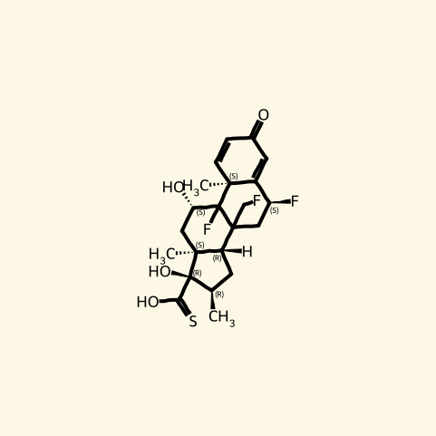 C[C@@H]1C[C@H]2C3(CF)C[C@H](F)C4=CC(=O)C=C[C@]4(C)C3(F)[C@@H](O)C[C@]2(C)[C@@]1(O)C(O)=S